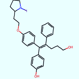 OCCC/C(=C(\c1ccc(O)cc1)c1ccc(OCCC2CCCN2I)cc1)c1ccccc1